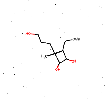 COCC1C(O)C(O)C1(C)CCCO